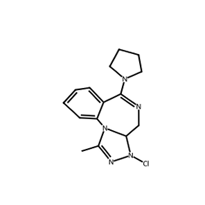 CC1=NN(Cl)C2CN=C(N3CCCC3)c3ccccc3N12